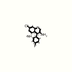 N.Nc1cnc2cc(Cl)ccc2c1-c1ccc(F)cc1